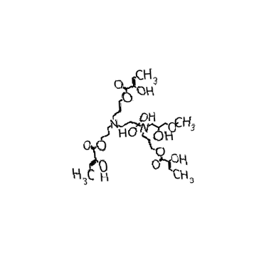 CC=C(O)C(=O)OCCCN(CCCOC(=O)C(O)=CC)CCC(O)(O)N(CCCOC(=O)C(O)=CC)CC(O)COC